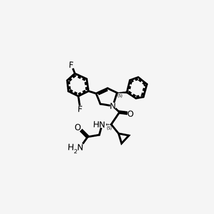 NC(=O)CN[C@H](C(=O)N1CC(c2cc(F)ccc2F)=C[C@H]1c1ccccc1)C1CC1